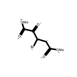 COC(=O)CC(Br)C(=O)C(=O)OC